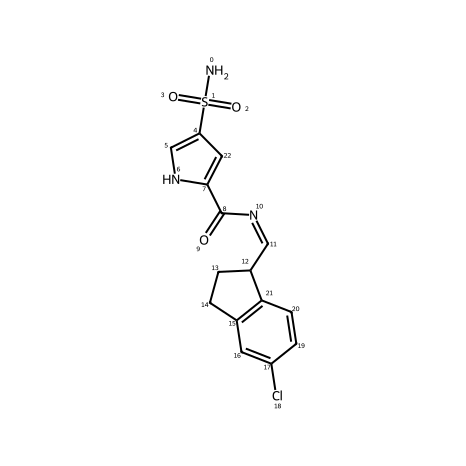 NS(=O)(=O)c1c[nH]c(C(=O)/N=C\C2CCc3cc(Cl)ccc32)c1